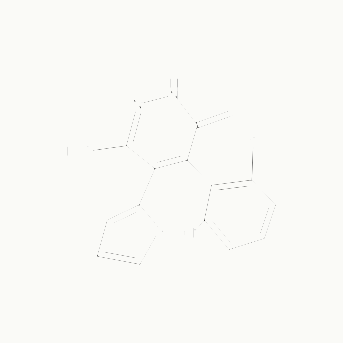 Cc1n[nH]c(=O)c(-c2c(Cl)cccc2Cl)c1-c1cccs1